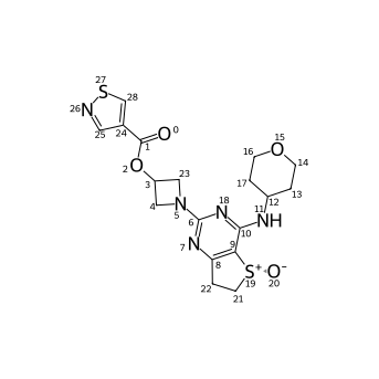 O=C(OC1CN(c2nc3c(c(NC4CCOCC4)n2)[S@+]([O-])CC3)C1)c1cnsc1